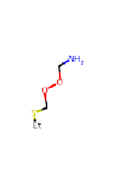 CCSCOOCN